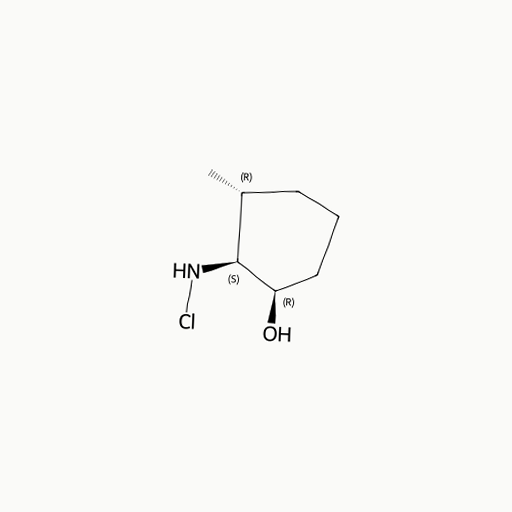 C[C@@H]1CCC[C@@H](O)[C@H]1NCl